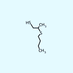 CCCCSC(C)CS